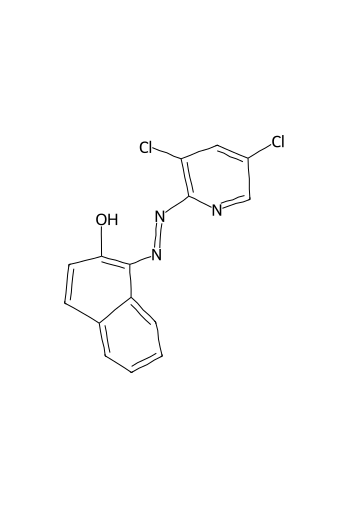 Oc1ccc2ccccc2c1N=Nc1ncc(Cl)cc1Cl